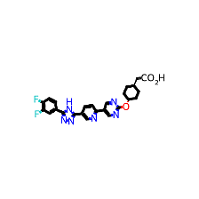 O=C(O)C[C@H]1CC[C@H](Oc2ncc(-c3ccc(-c4nnc(-c5ccc(F)c(F)c5)[nH]4)cn3)cn2)CC1